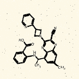 Cc1cc([C@@H](C)Nc2ccccc2C(=O)O)c2nc(N3CC(c4ccccn4)C3)c(C#N)nc2c1